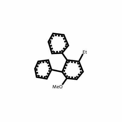 [CH2]Cc1ccc(OC)c(-c2ccccc2)c1-c1ccccc1